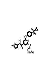 COC[C@@H](C)Oc1cc(C(=O)Nc2ccn(C)n2)cc(Oc2ccc(S(=O)(=O)C3CC3)cc2)n1